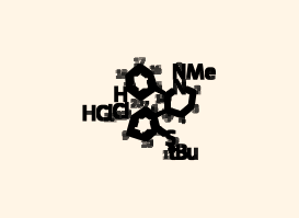 CNN1CCC[C@@H](c2ccccc2SC(C)(C)C)[C@H]1c1ccccc1.Cl.Cl